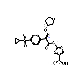 C[C@H](O)c1cnc(NC(=O)/C(=N/O[C@@H]2CCOC2)c2ccc(S(=O)(=O)C3CC3)cc2)s1